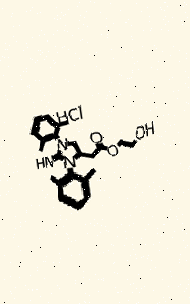 Cc1cccc(C)c1N1CC(CC(=O)OCCO)N(c2c(C)cccc2C)C1=N.Cl